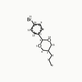 CCCC1COC(c2ccc(Br)cc2)OC1